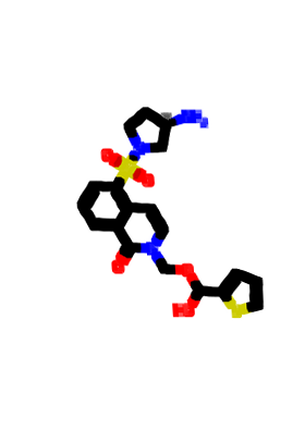 N[C@@H]1CCN(S(=O)(=O)c2cccc3c(=O)n(COC(O)c4cccs4)ccc23)C1